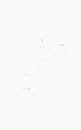 CC(=O)Nc1ccccc1-c1ccc(C(SC(C)=O)C(=O)O)cc1